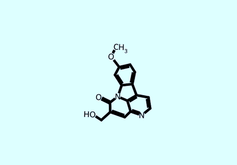 COc1ccc2c3ccnc4cc(CO)c(=O)n(c2c1)c43